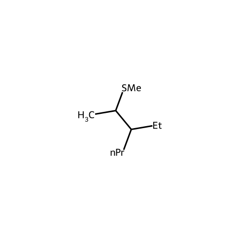 CCCC(CC)C(C)SC